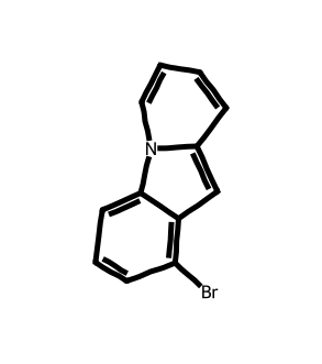 Brc1cccc2c1cc1ccccn12